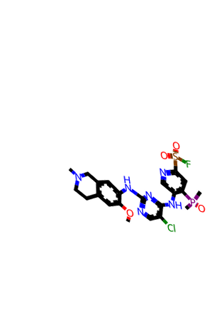 COc1cc2c(cc1Nc1ncc(Cl)c(Nc3cnc(S(=O)(=O)F)cc3P(C)(C)=O)n1)CN(C)CC2